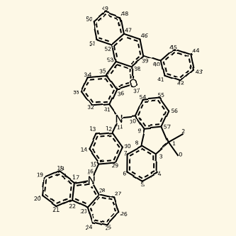 CC1(C)c2ccccc2-c2c(N(c3ccc(-n4c5ccccc5c5ccccc54)cc3)c3cccc4c3oc3c(-c5ccccc5)cc5ccccc5c34)cccc21